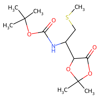 CSCC(NC(=O)OC(C)(C)C)C1OC(C)(C)OC1=O